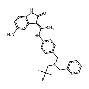 CC(Nc1ccc(CN(Cc2ccccc2)CC(F)(F)F)cc1)=C1C(=O)Nc2ccc(N)cc21